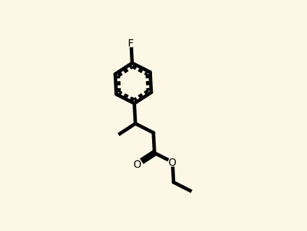 CCOC(=O)CC(C)c1ccc(F)cc1